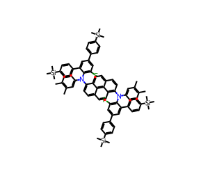 Cc1ccc(N(c2c(F)cc(-c3ccc([Si](C)(C)C)cc3)cc2-c2ccc([Si](C)(C)C)cc2)c2ccc3ccc4c(N(c5ccc(C)c(C)c5)c5c(F)cc(-c6ccc([Si](C)(C)C)cc6)cc5-c5ccc([Si](C)(C)C)cc5)ccc5ccc2c3c54)cc1C